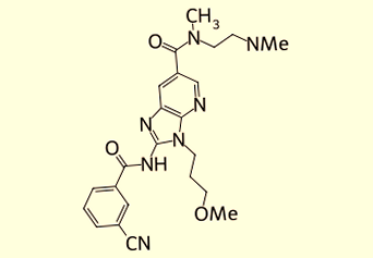 CNCCN(C)C(=O)c1cnc2c(c1)nc(NC(=O)c1cccc(C#N)c1)n2CCCOC